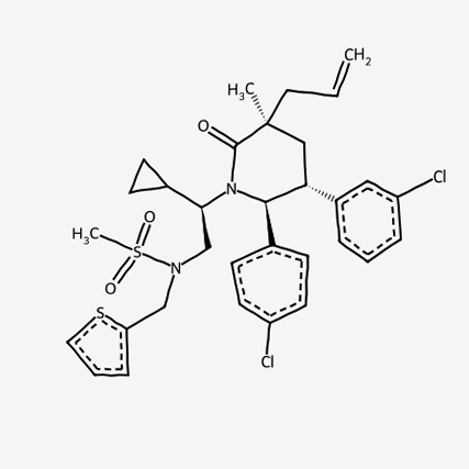 C=CC[C@@]1(C)C[C@H](c2cccc(Cl)c2)[C@@H](c2ccc(Cl)cc2)N([C@@H](CN(Cc2cccs2)S(C)(=O)=O)C2CC2)C1=O